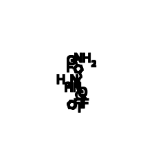 NC(=O)c1ccc(C[C@H](N)CNC(=O)C[C@H](c2ccccc2)C2(C(F)(F)F)CC2)cc1F